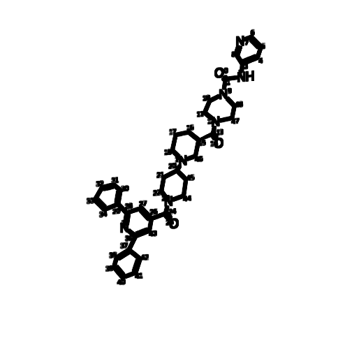 O=C(Nc1cccnc1)N1CCN(C(=O)[C@@H]2CCCN(C3CCN(C(=O)c4cc(-c5ccccc5)nc(-c5ccccc5)c4)CC3)C2)CC1